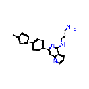 Cc1ccc(-c2ccc(-c3cc4ncccc4c(NCCCN)n3)cc2)cc1